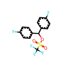 O=S(=O)(OC(c1ccc(F)cc1)c1ccc(F)cc1)C(F)(F)F